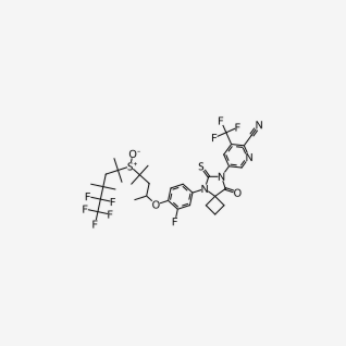 CC(CC(C)(C)[S+]([O-])C(C)(C)CC(C)(C)C(F)(F)C(F)(F)F)Oc1ccc(N2C(=S)N(c3cnc(C#N)c(C(F)(F)F)c3)C(=O)C23CCC3)cc1F